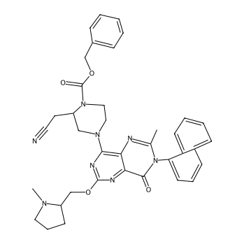 Cc1nc2c(N3CCN(C(=O)OCc4ccccc4)C(CC#N)C3)nc(OCC3CCCN3C)nc2c(=O)n1-c1cccc2ccccc12